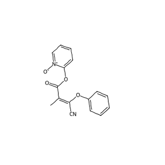 CC(C(=O)Oc1cccc[n+]1[O-])=C(C#N)Oc1ccccc1